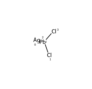 [Ag].[Cl][Pb][Cl]